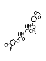 C=C(CCNC(=O)COc1ccc(Cl)c(F)c1)NC(=O)c1ccc2c(c1)OCCO2